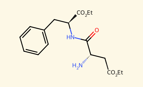 CCOC(=O)C[C@H](N)C(=O)N[C@@H](Cc1ccccc1)C(=O)OCC